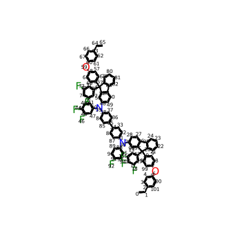 C=Cc1ccc(Oc2ccc(C3(c4cc(F)cc(F)c4)c4ccccc4-c4ccc(N(c5ccc(-c6ccc(N(c7ccc(F)c(F)c7)c7ccc8c(c7)C(c7ccc(Oc9ccc(C=C)cc9)cc7)(c7cc(F)cc(F)c7)c7ccccc7-8)cc6)cc5)c5ccc(F)c(F)c5)cc43)cc2)cc1